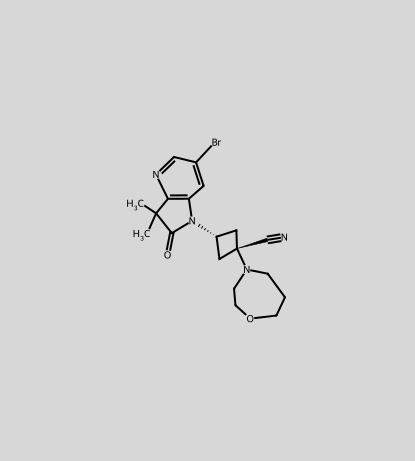 CC1(C)C(=O)N([C@H]2C[C@@](C#N)(N3CCCOCC3)C2)c2cc(Br)cnc21